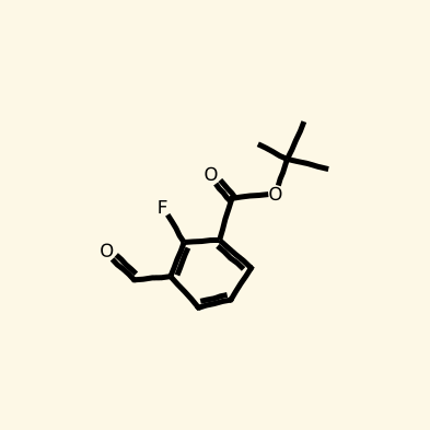 CC(C)(C)OC(=O)c1cccc(C=O)c1F